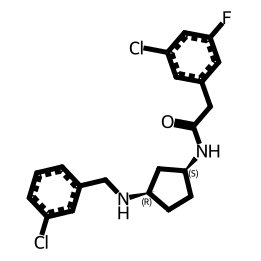 O=C(Cc1cc(F)cc(Cl)c1)N[C@H]1CC[C@@H](NCc2cccc(Cl)c2)C1